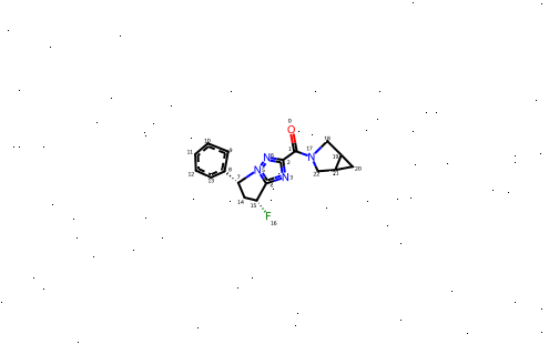 O=C(c1nc2n(n1)[C@@H](c1ccccc1)C[C@H]2F)N1CC2CC2C1